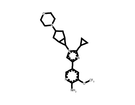 Nc1ncc(-c2cn(C3C4CC(N5CCOCC5)CC43)c(C3CC3)n2)cc1OC(F)(F)F